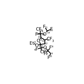 CCOC1(C(F)(OC(F)(F)CF)C(F)(F)F)CC(C(F)(F)F)C(C(F)(OC(F)F)C(F)(F)F)O1